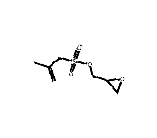 C=C(C)CS(=O)(=O)OCC1CO1